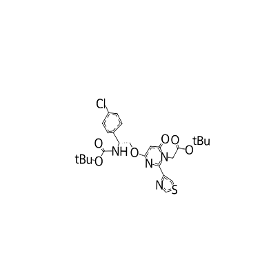 CC(C)(C)OC(=O)Cn1c(-c2cscn2)nc(OC[C@H](NC(=O)OC(C)(C)C)c2ccc(Cl)cc2)cc1=O